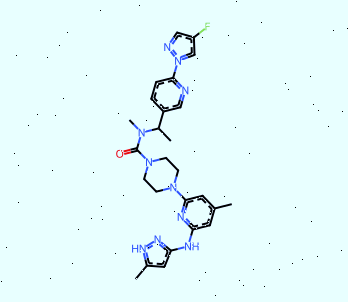 Cc1cc(Nc2cc(C)[nH]n2)nc(N2CCN(C(=O)N(C)C(C)c3ccc(-n4cc(F)cn4)nc3)CC2)c1